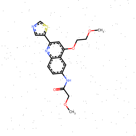 COCCOc1cc(-c2cncs2)nc2ccc(NC(=O)COC)cc12